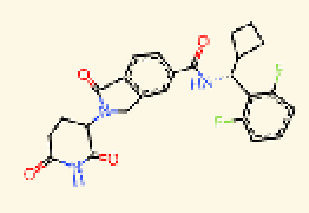 O=C1CCC(N2Cc3cc(C(=O)N[C@@H](c4c(F)cccc4F)C4CCC4)ccc3C2=O)C(=O)N1